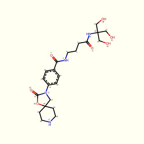 O=C(CCCNC(=O)c1ccc(N2CC3(CCNCC3)OC2=O)cc1)NC(CO)(CO)CO